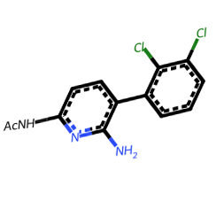 CC(=O)Nc1ccc(-c2cccc(Cl)c2Cl)c(N)n1